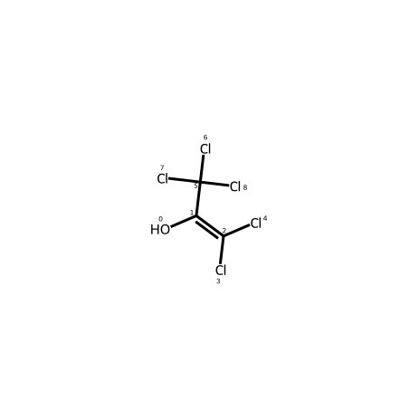 OC(=C(Cl)Cl)C(Cl)(Cl)Cl